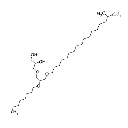 CCCCCCCCOC(COCCCCCCCCCCCCCCCC(C)C)COCC(O)CO